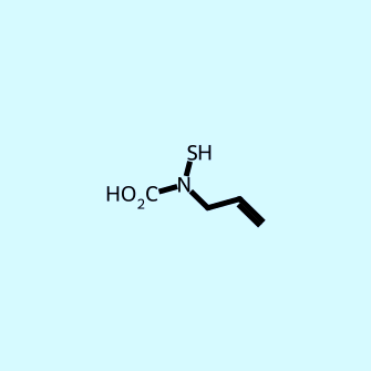 C=CCN(S)C(=O)O